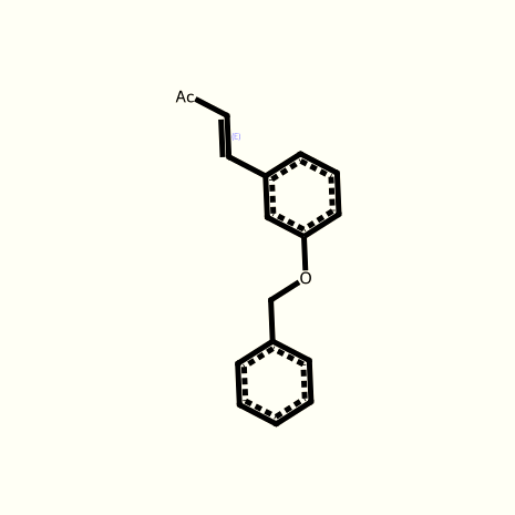 CC(=O)/C=C/c1cccc(OCc2ccccc2)c1